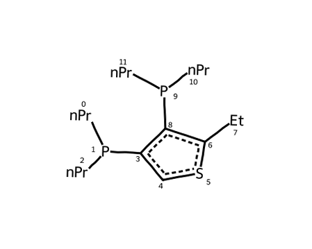 CCCP(CCC)c1csc(CC)c1P(CCC)CCC